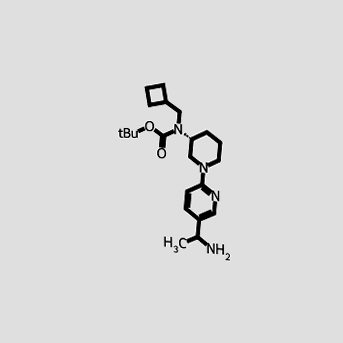 CC(N)c1ccc(N2CCC[C@@H](N(CC3CCC3)C(=O)OC(C)(C)C)C2)nc1